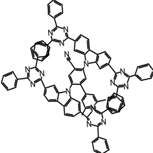 Cc1cc(-c2cc(-n3c4cc(-c5nc(-c6ccccc6)nc(-c6ccccc6)n5)ccc4c4ccc(-c5nc(-c6ccccc6)nc(-c6ccccc6)n5)cc43)c(C#N)cc2-n2c3cc(-c4nc(-c5ccccc5)nc(-c5ccccc5)n4)ccc3c3ccc(-c4nc(-c5ccccc5)nc(-c5ccccc5)n4)cc32)cc(C)n1